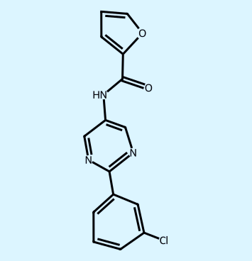 O=C(Nc1cnc(-c2cccc(Cl)c2)nc1)c1ccco1